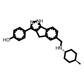 C[C@H]1CC[C@H](NCc2ccc3c(c2)Cc2c(-c4ccc(O)cc4)n[nH]c2-3)CC1